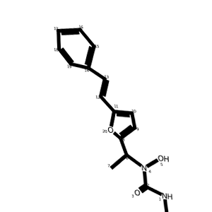 CNC(=O)N(O)C(C)c1ccc(C=Cc2ccccc2)o1